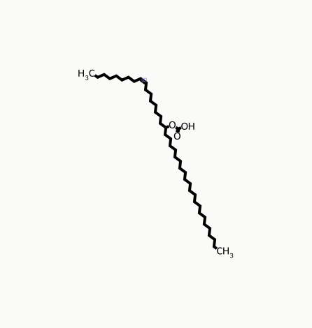 CCCCCCCC/C=C\CCCCCCCC(CCCCCCCCCCCCCCCCCCCCCC)OC(=O)O